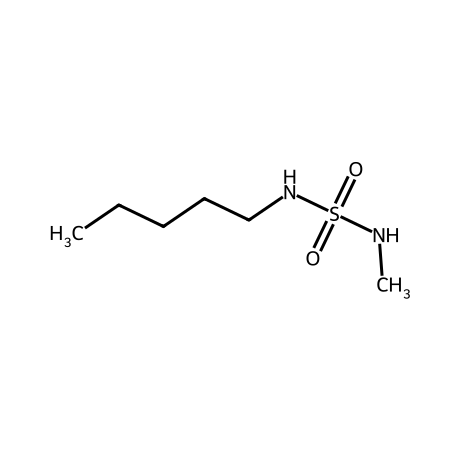 CCCCCNS(=O)(=O)NC